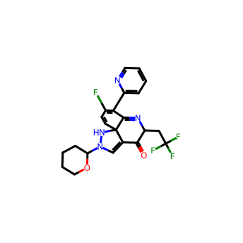 O=C1C2=CN(C3CCCCO3)NC23C=CC(F)=C(c2ccccn2)C3=NC1CC(F)(F)F